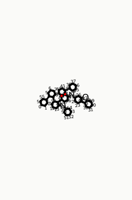 c1ccc(-c2ccccc2-c2cccc3c2c2ccc(N(c4ccc5c(c4)oc4ccccc45)c4ccccc4-c4ccccc4)cc2n3-c2ccccc2)cc1